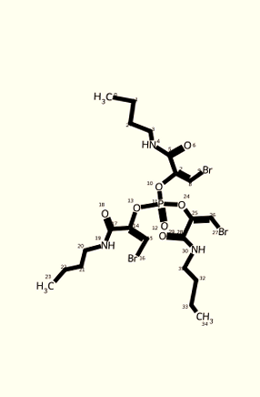 CCCCNC(=O)/C(=C\Br)OP(=O)(O/C(=C/Br)C(=O)NCCCC)O/C(=C/Br)C(=O)NCCCC